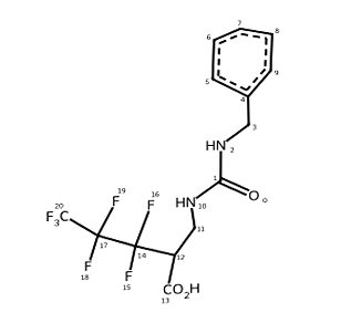 O=C(NCc1ccccc1)NCC(C(=O)O)C(F)(F)C(F)(F)C(F)(F)F